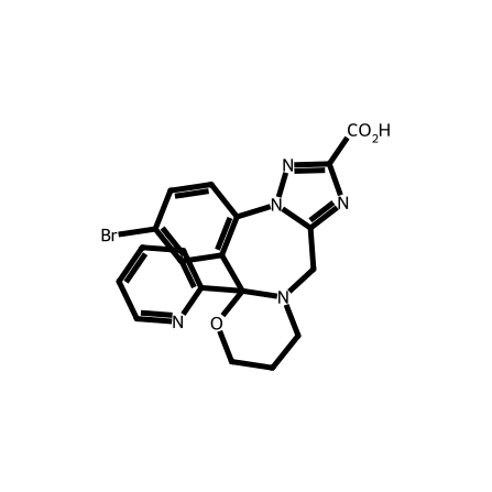 O=C(O)c1nc2n(n1)-c1ccc(Br)cc1C1(c3ccccn3)OCCCN1C2